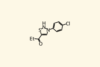 CCC(=O)C1=CN(c2ccc(Cl)cc2)NS1